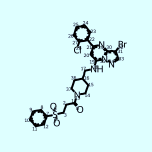 O=C(CCS(=O)(=O)c1ccccc1)N1CCC(CNc2cc(-c3ccccc3Cl)nc3c(Br)cnn23)CC1